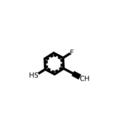 C#Cc1cc(S)ccc1F